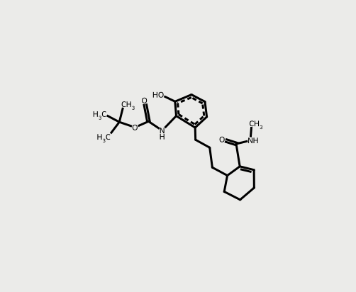 CNC(=O)C1=CCCCC1CCCc1cccc(O)c1NC(=O)OC(C)(C)C